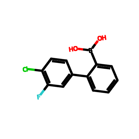 OB(O)c1ccccc1-c1ccc(Cl)c(F)c1